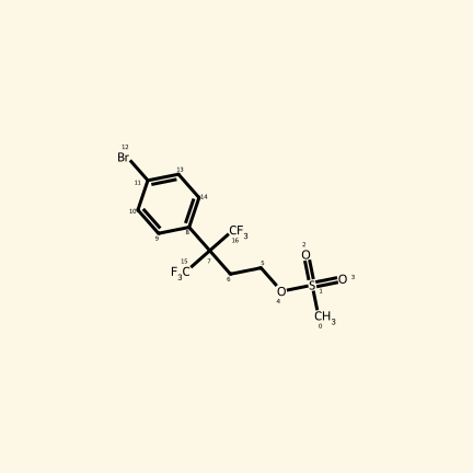 CS(=O)(=O)OCCC(c1ccc(Br)cc1)(C(F)(F)F)C(F)(F)F